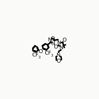 CC1(C)C(=O)N(Cc2nc(-c3ccc(Oc4ccccc4C(F)(F)F)c(C(F)(F)F)c3)no2)C(=O)N1CCN1CCOCC1